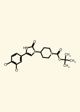 CC(C)(C)OC(=O)N1CCC(n2cc(-c3ccc(Cl)c(Cl)c3)[nH]c2=O)CC1